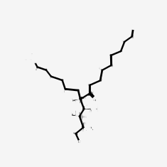 CCCCCCCCCCCCCCCCCCC(=O)[C@@](O)(CCCCCCCCCCCCCCCC)[C@@H](O)[C@H](O)[C@H](O)CO